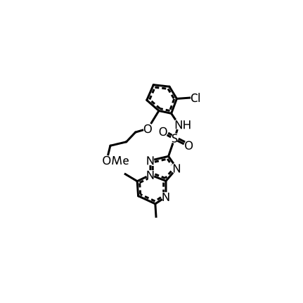 COCCCOc1cccc(Cl)c1NS(=O)(=O)c1nc2nc(C)cc(C)n2n1